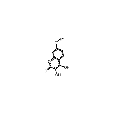 CC(C)Oc1ccc2c(O)c(O)c(=O)oc2c1